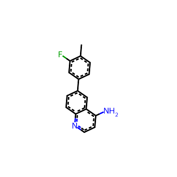 Cc1ccc(-c2ccc3nccc(N)c3c2)cc1F